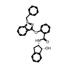 O=C(N[C@H]1Cc2ccccc2[C@H]1O)c1ccccc1Oc1nn(Cc2ccccc2)c2ccccc12